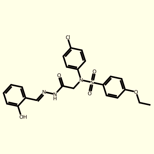 CCOc1ccc(S(=O)(=O)N(CC(=O)N/N=C/c2ccccc2O)c2ccc(Cl)cc2)cc1